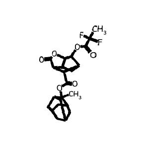 CC(F)(F)C(=O)OC1C2CC3C1OC(=O)C3C2C(=O)OC1(C)C2CC3CC(C2)CC1C3